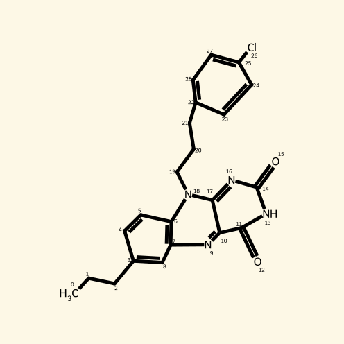 CCCc1ccc2c(c1)nc1c(=O)[nH]c(=O)nc-1n2CCCc1ccc(Cl)cc1